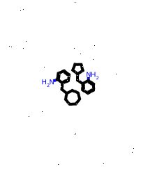 Nc1ccccc1CC1CCCC1.Nc1ccccc1CC1CCCCCC1